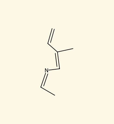 C=C/C(C)=C\N=C/C